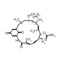 CO[C@H]1[C@@H](OC)C[C@H](C)CC2=CC(=O)C=C(NC(=O)/C(C)=C/C=C\[C@H](C)[C@@H](OC(N)=O)/C(C)=C/[C@@H]1C)C2=O